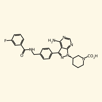 Nc1ncnc2c1c(-c1ccc(CNC(=O)c3cccc(F)c3)cc1)nn2[C@@H]1CCCN(C(=O)O)C1